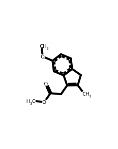 COC(=O)CC1=C(C)Cc2ccc(OC)cc21